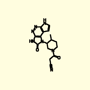 CC1CCN(C(=O)CC#N)CC1n1c(=O)[nH]c2nnc3[nH]ccc3c21